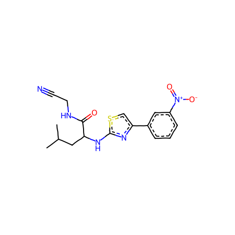 CC(C)CC(Nc1nc(-c2cccc([N+](=O)[O-])c2)cs1)C(=O)NCC#N